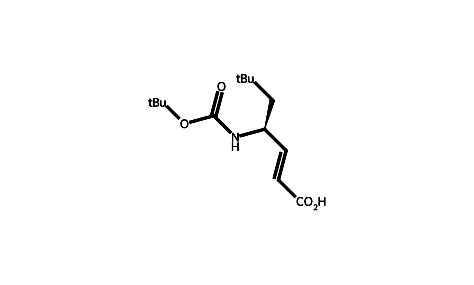 CC(C)(C)C[C@@H](/C=C/C(=O)O)NC(=O)OC(C)(C)C